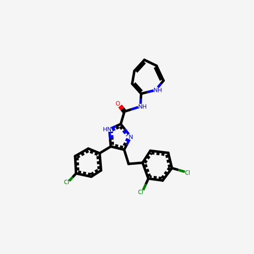 O=C(NC1=CC=CC=CN1)c1nc(Cc2ccc(Cl)cc2Cl)c(-c2ccc(Cl)cc2)[nH]1